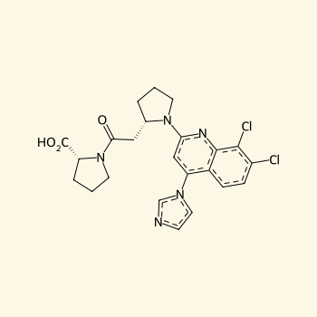 O=C(O)[C@H]1CCCN1C(=O)C[C@@H]1CCCN1c1cc(-n2ccnc2)c2ccc(Cl)c(Cl)c2n1